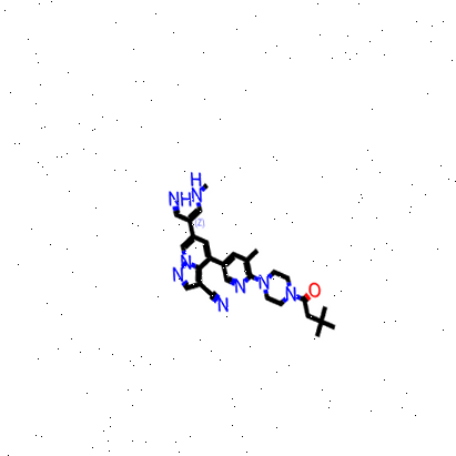 CN/C=C(\C=N)c1cc(-c2cnc(N3CCN(C(=O)CC(C)(C)C)CC3)c(C)c2)c2c(C#N)cnn2c1